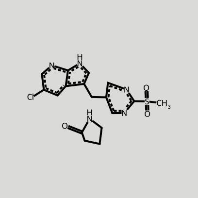 CS(=O)(=O)c1ncc(Cc2c[nH]c3ncc(Cl)cc23)cn1.O=C1CCCN1